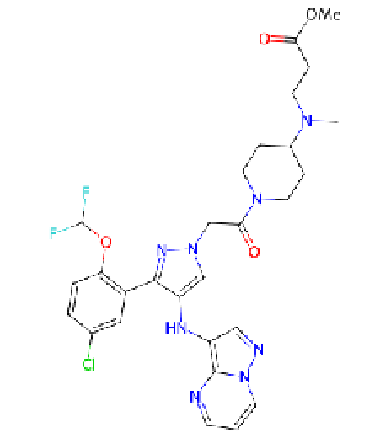 COC(=O)CCN(C)C1CCN(C(=O)Cn2cc(Nc3cnn4cccnc34)c(-c3cc(Cl)ccc3OC(F)F)n2)CC1